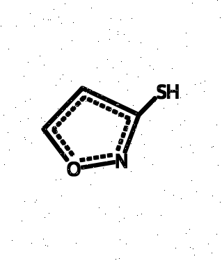 Sc1ccon1